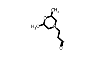 CC1CN(CC[C]=O)CC(C)O1